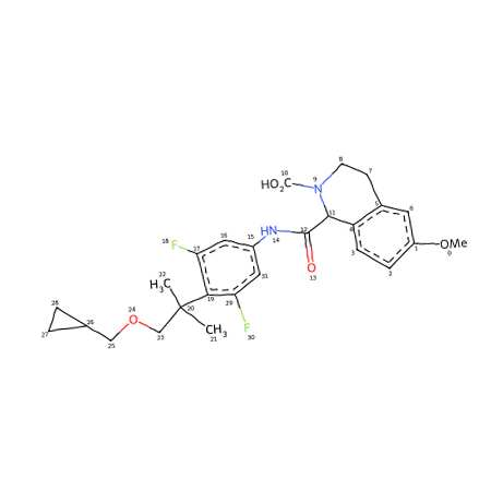 COc1ccc2c(c1)CCN(C(=O)O)C2C(=O)Nc1cc(F)c(C(C)(C)COCC2CC2)c(F)c1